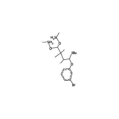 [CH2]C(C(Oc1cccc(Br)c1)C(C)(C)C)C(C)(C)C(O[SiH2]C)O[SiH2]C